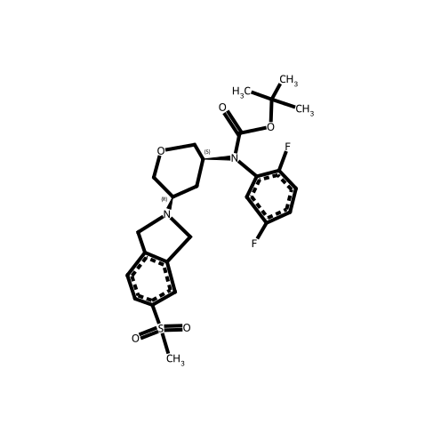 CC(C)(C)OC(=O)N(c1cc(F)ccc1F)[C@@H]1COC[C@H](N2Cc3ccc(S(C)(=O)=O)cc3C2)C1